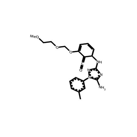 COCCOCOC1=CC=CC(Nc2nc(N)n(-c3cccc(C)c3)n2)C1=C=O